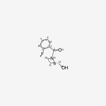 O=C(c1ccccc1F)N1CC[C@H]1CO